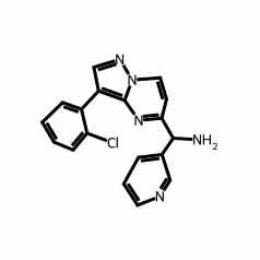 NC(c1cccnc1)c1ccn2ncc(-c3ccccc3Cl)c2n1